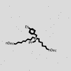 CCCCCCCCCCCCCCCCCC[N+](CCCCCCCCCCCCCCCC)(Cc1ccc(CC)cc1)CC(C)C